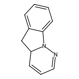 C1=CC2Cc3ccccc3N2N=C1